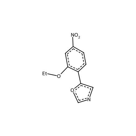 CCOc1cc([N+](=O)[O-])ccc1-c1cnco1